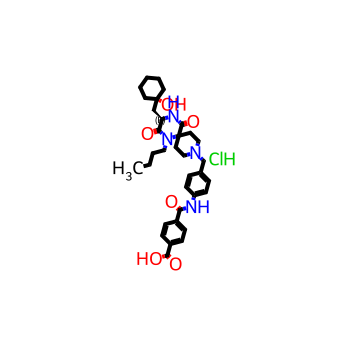 CCCCN1C(=O)[C@@H](CC2(O)CCCCC2)NC(=O)C12CCN(Cc1ccc(NC(=O)c3ccc(C(=O)O)cc3)cc1)CC2.Cl